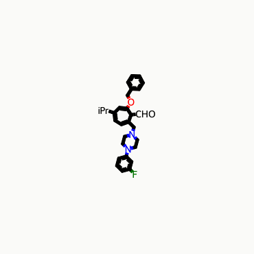 CC(C)C1=CC=C(CN2CCN(c3cccc(F)c3)CC2)C(C=O)C(OCc2ccccc2)=C1